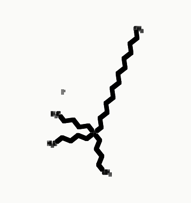 CCCCCCCCCCCCCC[N+](CCCCC)(CCCCC)CCCCC.[I-]